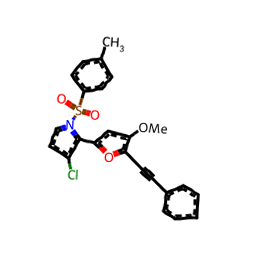 COc1cc(-c2c(Cl)ccn2S(=O)(=O)c2ccc(C)cc2)oc1C#Cc1ccccc1